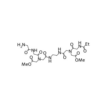 CCC(=O)NCC(=O)N(CC(=O)NCCNC(=O)CN(CC(=O)OC)C(=O)CNC(=O)CN)CC(=O)OC